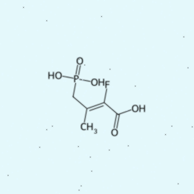 CC(CP(=O)(O)O)=C(F)C(=O)O